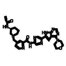 C=CC(=O)N[C@@H]1CCCN(Cc2ccnc(C(=O)Nc3cnc(-c4cc5c(N6CCOCC6)ncnc5[nH]4)cn3)c2)C1